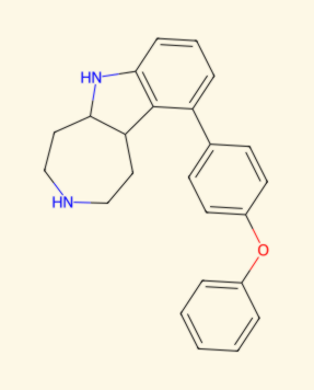 c1ccc(Oc2ccc(-c3cccc4c3C3CCNCCC3N4)cc2)cc1